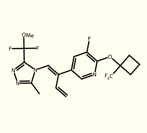 C=C/C(=C\n1c(C)nnc1C(F)(F)OC)c1cnc(OC2(C(F)(F)F)CCC2)c(F)c1